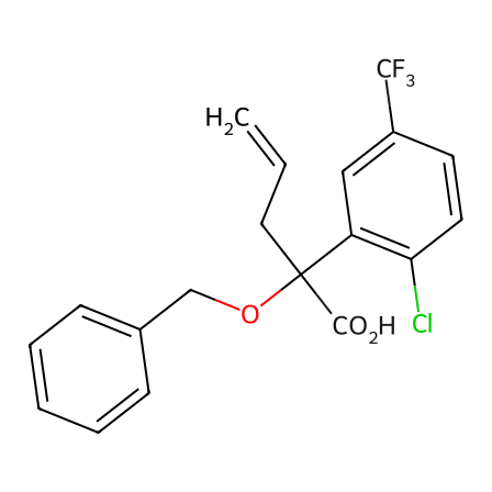 C=CCC(OCc1ccccc1)(C(=O)O)c1cc(C(F)(F)F)ccc1Cl